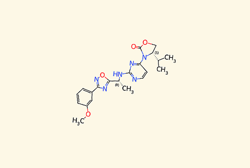 COc1cccc(-c2noc([C@@H](C)Nc3nccc(N4C(=O)OC[C@@H]4C(C)C)n3)n2)c1